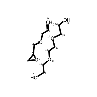 C=CCOCC1CO1.OCCOCCOCCO